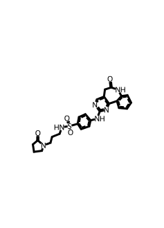 O=C1Cc2cnc(Nc3ccc(S(=O)(=O)NCCCN4CCCC4=O)cc3)nc2-c2ccccc2N1